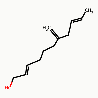 C=C(C/C=C/C)CCC/C=C/CO